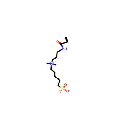 C=CC(=O)NCCC[N+](C)(C)CCCCCS(=O)(=O)[O-]